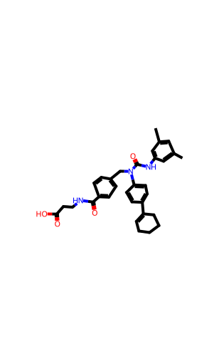 Cc1cc(C)cc(NC(=O)N(Cc2ccc(C(=O)NCCC(=O)O)cc2)c2ccc(C3=CCCCC3)cc2)c1